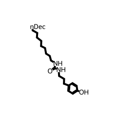 CCCCCCCCCCCCCCCCCCCNC(=O)NCCCc1ccc(O)cc1